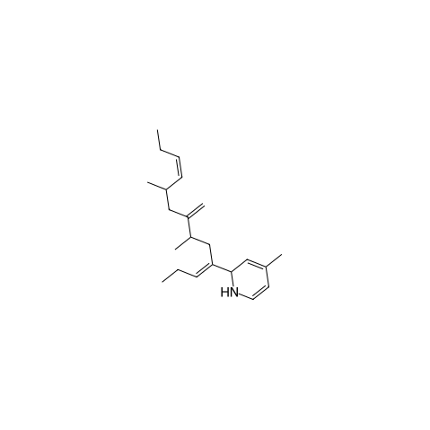 C=C(CC(C)/C=C\CC)C(C)C/C(=C\CC)C1C=C(C)C=CN1